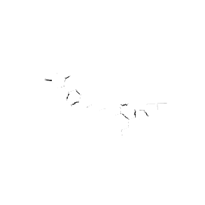 CCCc1c(OCCCOc2ccc(C3SC(=O)NC3=O)cc2)ccc2c(CC(C)(C)C)coc12